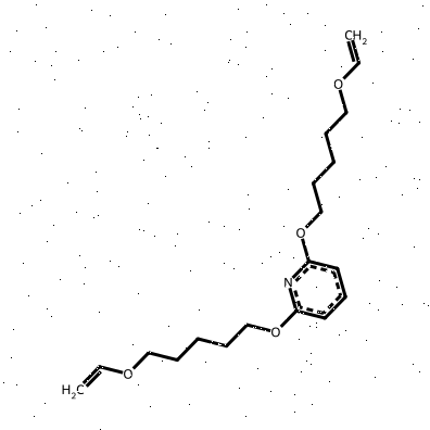 C=COCCCCCOc1cccc(OCCCCCOC=C)n1